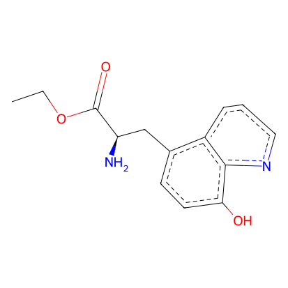 CCOC(=O)[C@H](N)Cc1ccc(O)c2ncccc12